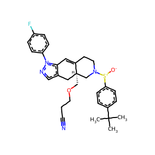 CC(C)(C)c1ccc([S+]([O-])N2CCC3=Cc4c(cnn4-c4ccc(F)cc4)C[C@]3(COCCC#N)C2)cc1